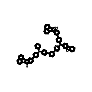 c1ccc(N(c2ccc(-c3cccc(-c4ccc(N(c5ccc(-c6ccc7[nH]c8c(c7c6)-c6cccc7cccc-8c67)cc5)c5ccc6c(c5)oc5ccccc56)nc4)c3)cc2)c2ccc(-c3ccc4[nH]c5c(c4c3)-c3cccc4cccc-5c34)cc2)cc1